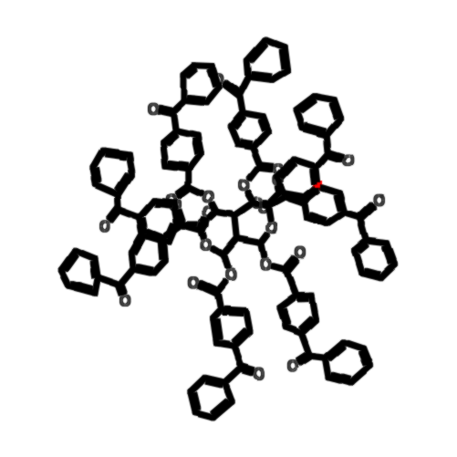 O=C(OC(OC(=O)c1ccc(C(=O)c2ccccc2)cc1)C(C(OC(=O)c1ccc(C(=O)c2ccccc2)cc1)OC(=O)c1ccc(C(=O)c2ccccc2)cc1)C(C(OC(=O)c1ccc(C(=O)c2ccccc2)cc1)OC(=O)c1ccc(C(=O)c2ccccc2)cc1)C(OC(=O)c1ccc(C(=O)c2ccccc2)cc1)OC(=O)c1ccc(C(=O)c2ccccc2)cc1)c1ccc(C(=O)c2ccccc2)cc1